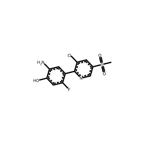 CS(=O)(=O)c1cnc(-c2cc(N)c(O)cc2F)c(Cl)c1